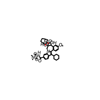 COc1ccc2c(c1)C(O)C(O)(C(=O)N1C3CCC1CN(C)C3)Cn1c-2c(C2CCCCC2)c2ccc(C(=O)NS(=O)(=O)N(C)C)cc21